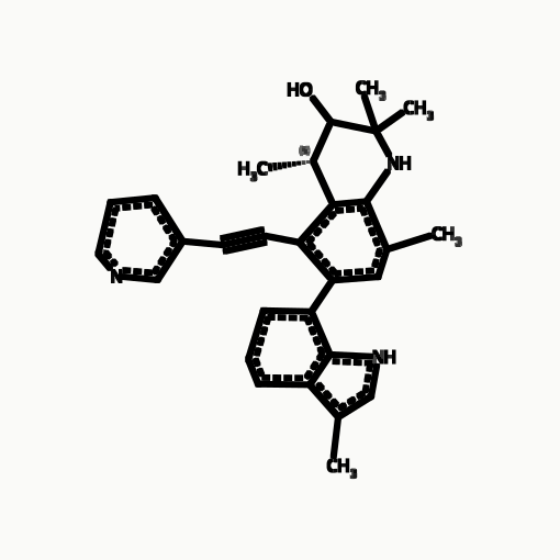 Cc1cc(-c2cccc3c(C)c[nH]c23)c(C#Cc2cccnc2)c2c1NC(C)(C)C(O)[C@H]2C